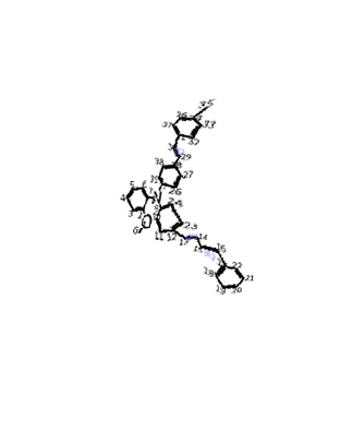 COc1ccccc1N(c1ccc(/C=C/C=C/c2ccccc2)cc1)c1ccc(/C=C/c2ccc(C)cc2)cc1